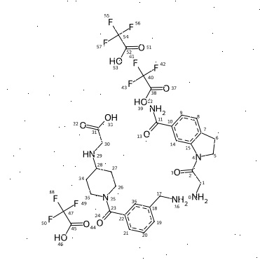 NCC(=O)N1CCc2ccc(C(N)=O)cc21.NCc1cccc(C(=O)N2CCC(NCC(=O)O)CC2)c1.O=C(O)C(F)(F)F.O=C(O)C(F)(F)F.O=C(O)C(F)(F)F